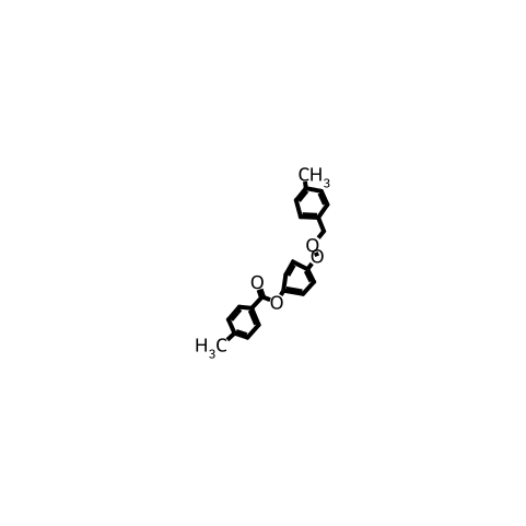 Cc1ccc(COOc2ccc(OC(=O)c3ccc(C)cc3)cc2)cc1